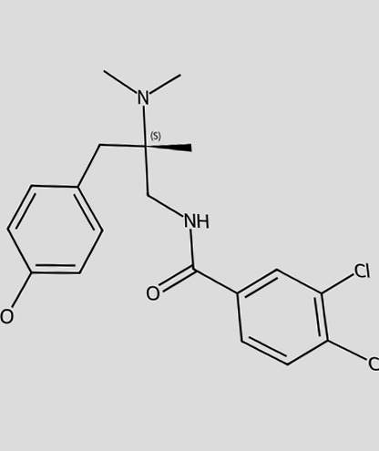 CN(C)[C@](C)(CNC(=O)c1ccc(Cl)c(Cl)c1)Cc1ccc(O)cc1